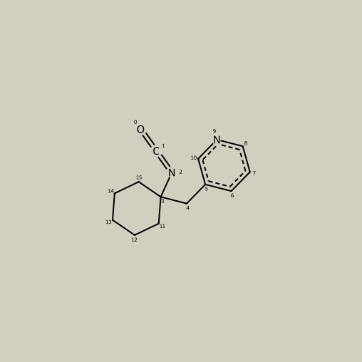 O=C=NC1(Cc2cccnc2)CCCCC1